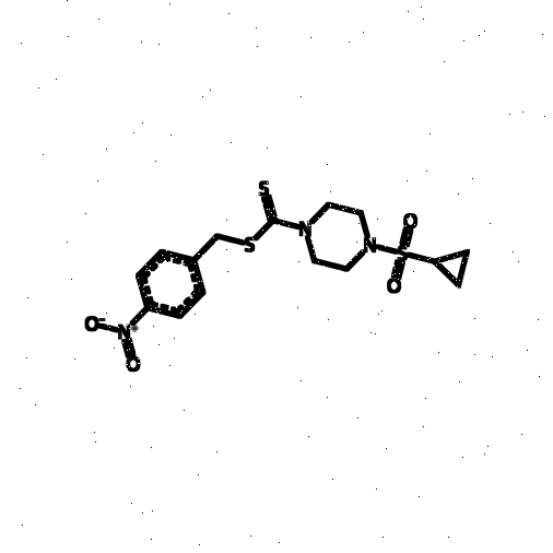 O=[N+]([O-])c1ccc(CSC(=S)N2CCN(S(=O)(=O)C3CC3)CC2)cc1